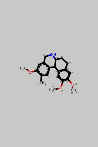 COc1cc2c(cc1C)C1c3cc(OC)c(OC)cc3CCC1NC2